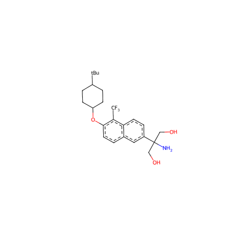 CC(C)(C)C1CCC(Oc2ccc3cc(C(N)(CO)CO)ccc3c2C(F)(F)F)CC1